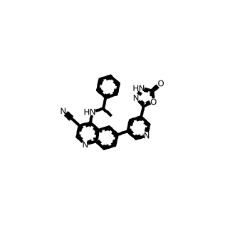 CC(Nc1c(C#N)cnc2ccc(-c3cncc(-c4n[nH]c(=O)o4)c3)cc12)c1ccccc1